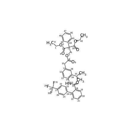 CCOC(=O)C(COC(=O)Cc1ccc(NC(=O)c2ccccc2-c2ccc(C(F)(F)F)cc2)c(C(C)C)c1)(C(=O)OCC)c1ccccc1